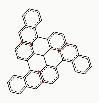 c1ccc(C(c2ccccc2-c2nccc3ccccc23)c2ccccc2-c2nccc3ccccc23)c(-c2nccc3ccccc23)c1